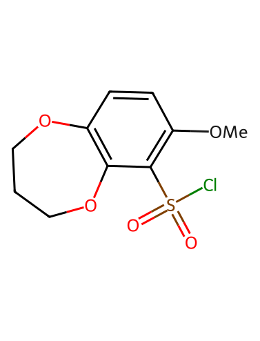 COc1ccc2c(c1S(=O)(=O)Cl)OCCCO2